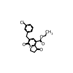 CCOC(=O)c1cc(Cc2cccc(Cl)c2)c(=O)n2c1C(=O)CC2